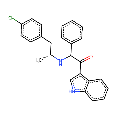 C[C@H](Cc1ccc(Cl)cc1)NC(C(=O)c1c[nH]c2ccccc12)c1ccccc1